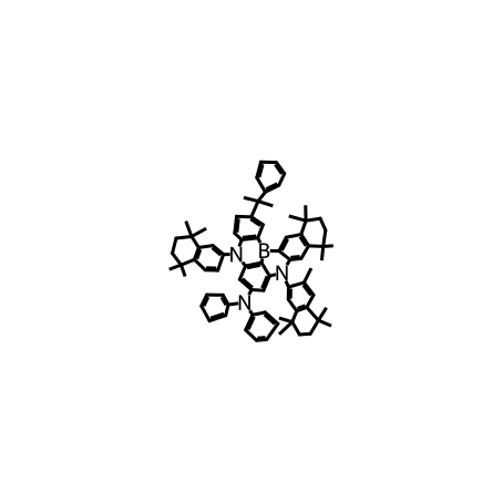 Cc1cc2c(cc1N1c3cc4c(cc3B3c5cc(C(C)(C)c6ccccc6)ccc5N(c5ccc6c(c5)C(C)(C)CCC6(C)C)c5cc(N(c6ccccc6)c6ccccc6)cc1c53)C(C)(C)CCC4(C)C)C(C)(C)CCC2(C)C